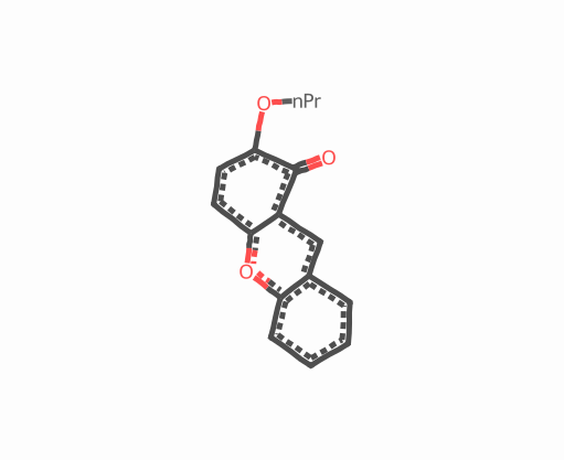 CCCOc1ccc2oc3ccccc3cc-2c1=O